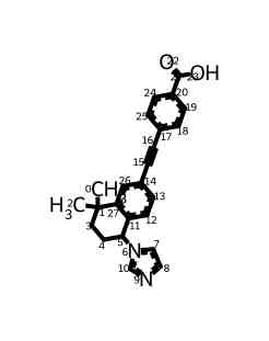 CC1(C)CCC(n2ccnc2)c2ccc(C#Cc3ccc(C(=O)O)cc3)cc21